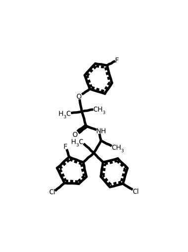 CC(NC(=O)C(C)(C)Oc1ccc(F)cc1)C(C)(c1ccc(Cl)cc1)c1ccc(Cl)cc1F